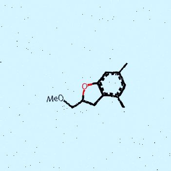 COCC1Cc2c(C)cc(C)cc2O1